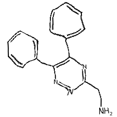 NCc1nnc(-c2ccccc2)c(-c2ccccc2)n1